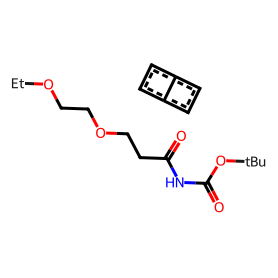 CCOCCOCCC(=O)NC(=O)OC(C)(C)C.c1cc2ccc1-2